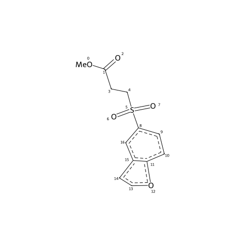 COC(=O)CCS(=O)(=O)c1ccc2occc2c1